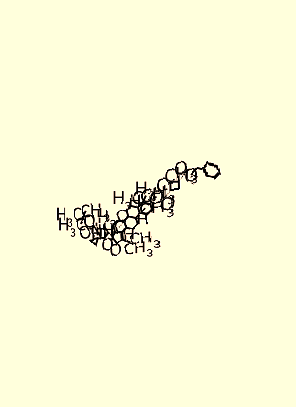 CC(C)C1=C2[C@H]3CC[C@@H]4[C@@]5(C)CC[C@H](OC(=O)[C@H]6C[C@@H](C(=O)OCc7ccccc7)C6(C)C)C(C)(C)[C@@H]5CC[C@@]4(C)[C@]3(C)CC[C@@]2(NC(=O)C2(NC(=O)OC(C)(C)C)CC2)CC1=O